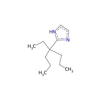 CCCC(CC)(CCC)c1ncc[nH]1